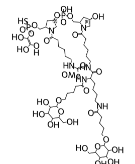 COC(=O)NCCCCCC(=O)N1C[C@H](OP(=O)(O)OCC2C[C@@H](O)CN2C(=O)CCCCCNC(=O)C(CCCCNC(=O)CCCCOC2OC(CO)C(O)C(O)C2O)NC(=O)CCCCOC2OC(CO)C(O)C(O)C2O)CC1COP(=O)(S)OC(O)=C(O)O